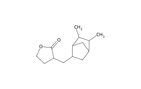 CC1C2CC(CC3CCOC3=O)C(C2)C1C